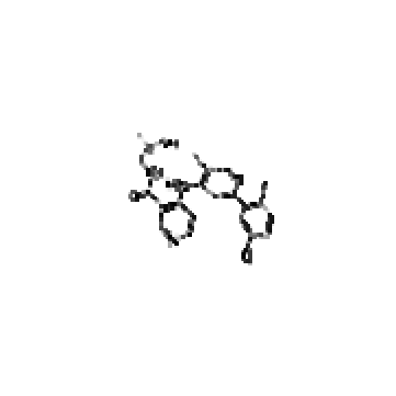 Cc1cnc(-c2cc(Cl)ccc2F)cc1Nc1ccncc1C(=O)NC[C@H](C)O